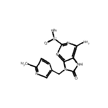 CCC[S+]([O-])c1nc(N)c2[nH]c(=O)n(Cc3ccc(C)nc3)c2n1